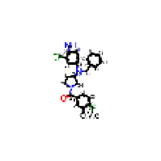 COc1cc(C(=O)N2CC[C@H](N(Cc3ccccc3)c3ccc(N)c(Cl)c3)C2)ccc1F